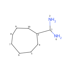 NC(N)C1CCCCCCC1